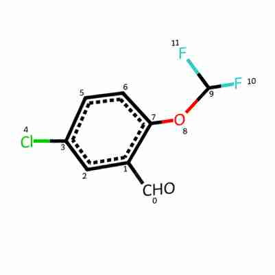 O=Cc1cc(Cl)ccc1OC(F)F